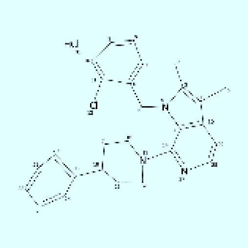 Cc1c(C)n(Cc2ccccc2Cl)c2c(N3CCC(c4ccccc4)CC3)nccc12.Cl